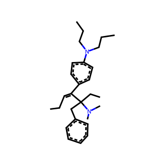 CCC=C(c1ccc(N(CCC)CCC)cc1)C(CC)(Cc1ccccc1)N(C)C